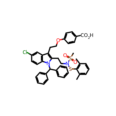 Cc1cccc(C)c1SN(CCc1c(CCOc2ccc(C(=O)O)cc2)c2cc(Cl)ccc2n1C(c1ccccc1)c1ccccc1)S(C)(=O)=O